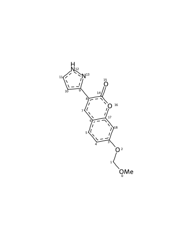 COCOc1ccc2cc(-c3cc[nH]n3)c(=O)oc2c1